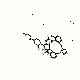 C=CC(=O)N1CCN(c2nc(=O)n3c4nc(c(F)cc24)-c2c(F)cccc2Cc2cnnn2Cc2ccnc(C(C)C)c2-3)[C@@H](C)C1